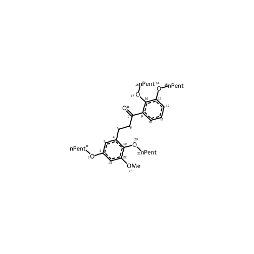 CCCCCOc1cc(CCC(=O)c2cccc(OCCCCC)c2OCCCCC)c(OCCCCC)c(OC)c1